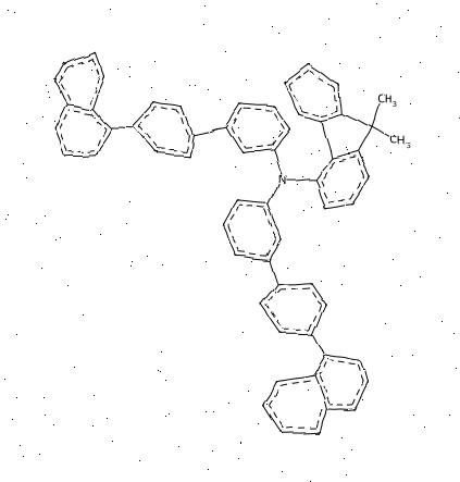 CC1(C)c2ccccc2-c2c(N(c3cccc(-c4ccc(-c5cccc6ccccc56)cc4)c3)c3cccc(-c4ccc(-c5cccc6ccccc56)cc4)c3)cccc21